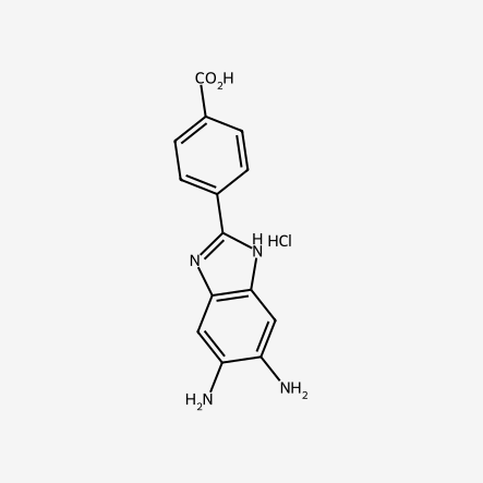 Cl.Nc1cc2nc(-c3ccc(C(=O)O)cc3)[nH]c2cc1N